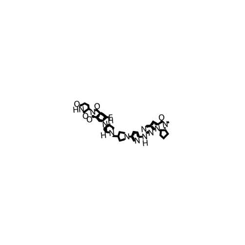 CN(C)C(=O)c1cc2cnc(Nc3ccc(N4CCC(CN5C[C@@H]6C[C@H]5CN6c5cc6c(cc5F)C(=O)N(C5CCC(=O)NC5=O)C6=O)CC4)cn3)nc2n1C1CCCC1